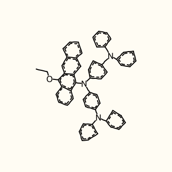 CCOc1c2ccccc2c(N(c2ccc(N(c3ccccc3)c3ccccc3)cc2)c2ccc(N(c3ccccc3)c3ccccc3)cc2)c2cc3ccccc3cc12